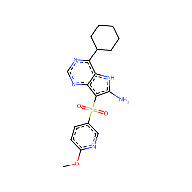 COc1ccc(S(=O)(=O)c2c(N)[nH]c3c(C4CCCCC4)ncnc23)cn1